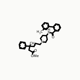 COC(=O)CC(C)(CCCN1CCC(NC(=O)c2ccccc2-c2cccc(C)c2)CC1)c1ccccc1